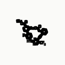 COC(=O)Cc1ccccc1C#Cc1nc(Nc2ccc(C3CCN(C(=O)OC(C)(C)C)CC3)c(F)c2)ncc1C(F)(F)F